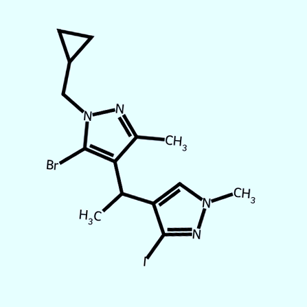 Cc1nn(CC2CC2)c(Br)c1C(C)c1cn(C)nc1I